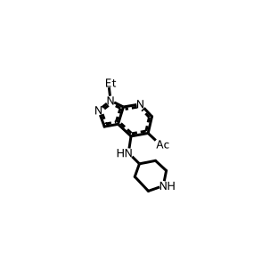 CCn1ncc2c(NC3CCNCC3)c(C(C)=O)cnc21